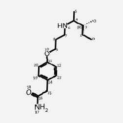 CC[C@@H](C)C(C)NCCCOc1ccc(CC(N)=O)cc1